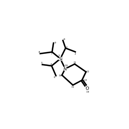 CC(C)[Si](C(C)C)(C(C)C)N1CCC(=O)CC1